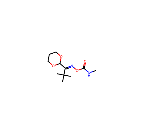 CNC(=O)ON=C(C1OCCCO1)C(C)(C)C